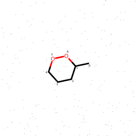 CC1CCCOO1